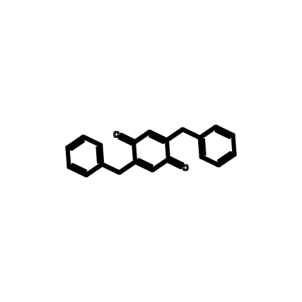 O=C1C=C(Cc2ccccc2)C(=O)C=C1Cc1ccccc1